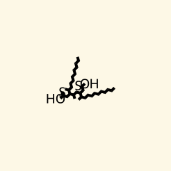 CCCCCCCCCCC(C)C(CC(O)=S)CC(C)C(CC(O)=S)C(C)CCCCCCCCCC